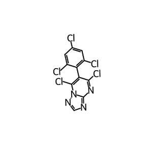 Clc1cc(Cl)c(-c2c(Cl)nc3ncnn3c2Cl)c(Cl)c1